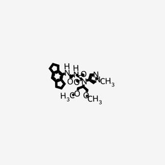 COCC(COC)N(c1cnn(C)c1)S(=O)(=O)NC(=O)Nc1c2c(cc3c1CCC3)CCC2